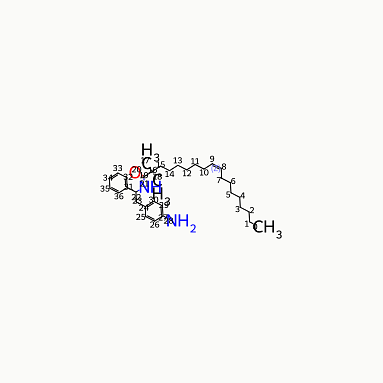 CCCCCCCC/C=C\CCCCCCC(C)(C)C(=O)NC(Cc1ccc(N)cc1)c1ccccc1